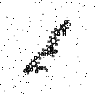 CS(=O)(=O)Oc1ccc(OCCNCC(COc2ccc(-c3ccc(-c4nc(C(F)(F)F)c[nH]4)o3)cc2)OS(C)(=O)=O)cc1C(N)=O